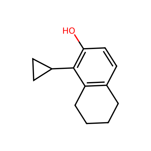 Oc1ccc2c(c1C1CC1)CCCC2